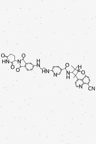 CC1(C)C(NC(=O)c2ccc(NCCNc3ccc4c(c3)C(=O)N(C3CCC(=O)NC3=O)C4=O)nc2)C2(C)c3ccnc4c(C#N)ccc(c34)O[C@@H]12